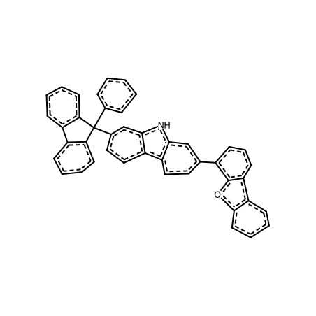 c1ccc(C2(c3ccc4c(c3)[nH]c3cc(-c5cccc6c5oc5ccccc56)ccc34)c3ccccc3-c3ccccc32)cc1